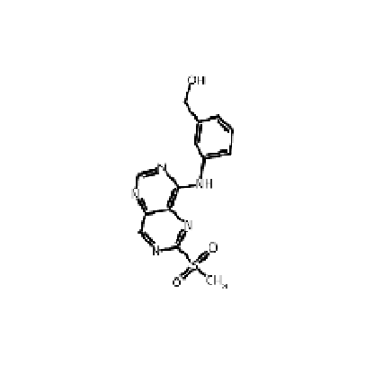 CS(=O)(=O)c1ncc2ncnc(Nc3cccc(CO)c3)c2n1